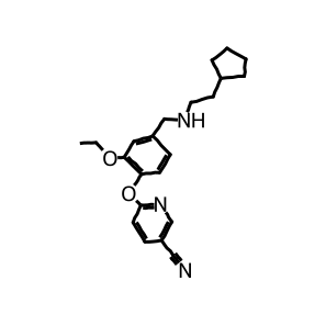 CCOc1cc(CNCCC2CCCC2)ccc1Oc1ccc(C#N)cn1